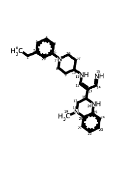 CCc1cccc(N2CCC(N/C=C(\C=N)C3CN(C)c4ccccc4N3)CC2)c1